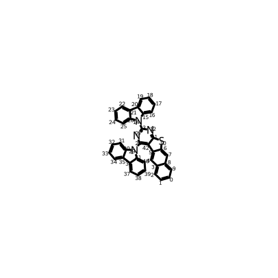 c1ccc2cc3c(cc2c1)sc1nc(-n2c4ccccc4c4ccccc42)nc(-n2c4ccccc4c4ccccc42)c13